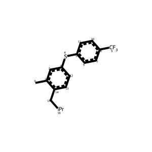 Cc1cc(Sc2ccc(C(F)(F)F)cc2)ccc1CC(C)C